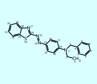 CCN(Cc1ccccc1)c1ccc(N=Nc2nc3ccccc3s2)cc1